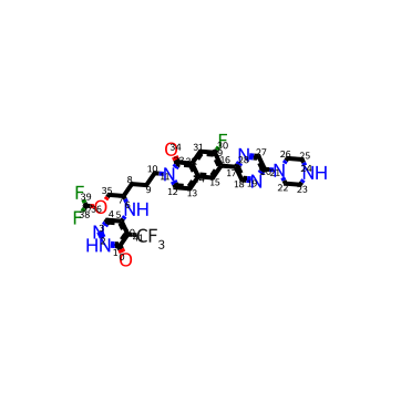 O=c1[nH]ncc(NC(CCCn2ccc3cc(-c4cnc(N5CCNCC5)cn4)c(F)cc3c2=O)COC(F)F)c1C(F)(F)F